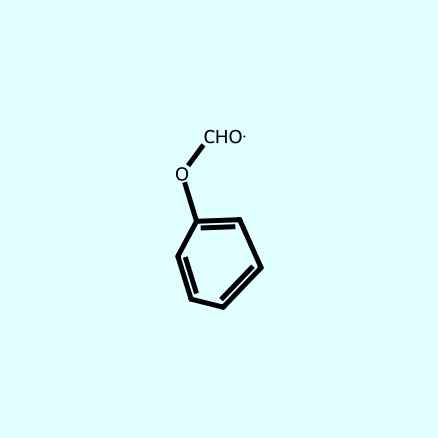 O=[C]Oc1ccccc1